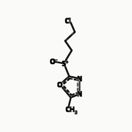 Cc1nnc([S+]([O-])CCCCl)o1